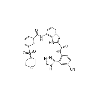 N#Cc1ccc(NC(=O)c2cc3cccc(NC(=O)c4cccc(S(=O)(=O)N5CCOCC5)c4)c3[nH]2)c(-c2nnn[nH]2)c1